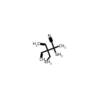 C=CC(C=C)(CC)C(C)([SiH3])C#N